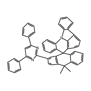 CC1(C)c2ccccc2C2(c3ccccc3-n3c4ccccc4c4cccc2c43)c2cc(-c3nc(-c4ccccc4)cc(-c4ccccc4)n3)ccc21